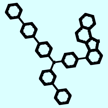 c1ccc(-c2ccc(-c3ccc(N(c4ccc(-c5cccc6sc7c8ccccc8ccc7c56)cc4)c4cccc(-c5ccccc5)c4)cc3)cc2)cc1